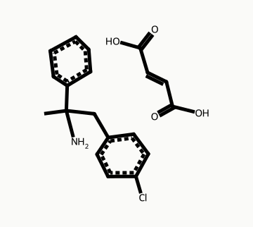 CC(N)(Cc1ccc(Cl)cc1)c1ccccc1.O=C(O)C=CC(=O)O